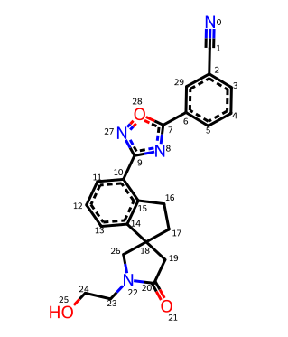 N#Cc1cccc(-c2nc(-c3cccc4c3CCC43CC(=O)N(CCO)C3)no2)c1